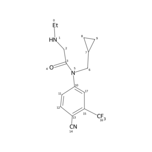 CCNCC(=O)N(CC1CC1)c1ccc(C#N)c(C(F)(F)F)c1